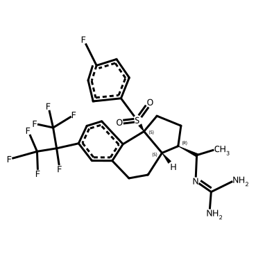 CC(N=C(N)N)[C@@H]1CC[C@@]2(S(=O)(=O)c3ccc(F)cc3)c3ccc(C(F)(C(F)(F)F)C(F)(F)F)cc3CC[C@@H]12